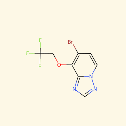 FC(F)(F)COc1c(Br)ccn2ncnc12